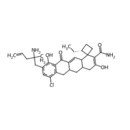 C=CCC(C)(N)Cc1cc(Cl)c2c(c1O)C(=O)C1=CC3C(CC(O)=C(C(N)=O)C34CC[C@H]4CC)CC1C2